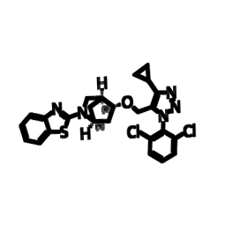 Clc1cccc(Cl)c1-n1nnc(C2CC2)c1CO[C@@H]1C[C@@H]2C[C@H]1CN2c1nc2ccccc2s1